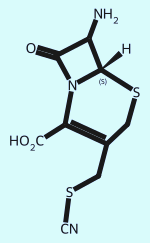 N#CSCC1=C(C(=O)O)N2C(=O)C(N)[C@@H]2SC1